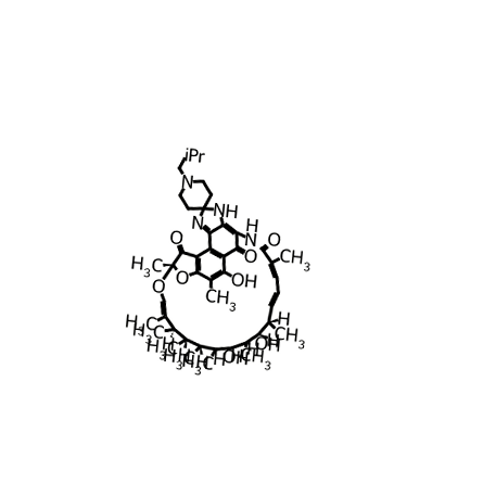 C/C1=C/C=C/[C@H](C)[C@H](O)[C@@H](C)[C@@H](O)[C@@H](C)[C@H](C)[C@H](C)[C@@H](C)/C(C)=C/O[C@@]2(C)Oc3c(C)c(O)c4c(c3C2=O)C2=NC3(CCN(CC(C)C)CC3)NC2=C(NC1=O)C4=O